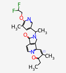 CCC(=O)/C(C)=C\c1nccc2c1CN(C(C)c1cnc(OCC(F)F)c(C)c1)C2=O